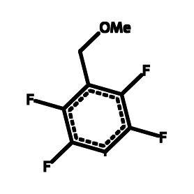 COCc1c(F)c(F)[c]c(F)c1F